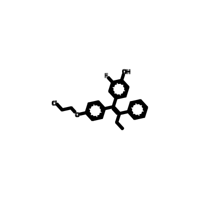 CC/C(=C(\c1ccc(OCCCl)cc1)c1ccc(O)c(F)c1)c1ccccc1